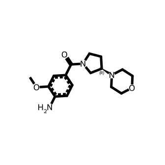 COc1cc(C(=O)N2CC[C@@H](N3CCOCC3)C2)ccc1N